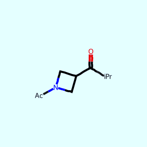 CC(=O)N1CC(C(=O)C(C)C)C1